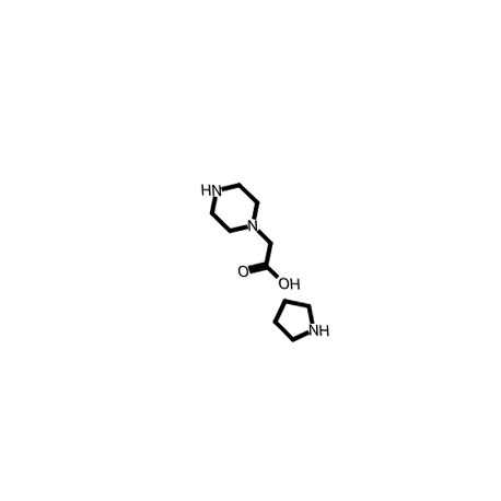 C1CCNC1.O=C(O)CN1CCNCC1